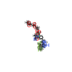 CN1CC(c2ccc(Cl)c(C(=O)N(COC(=O)OCC(C)(C)COC(=O)CCC(=O)OC(C)(C)C)C3(C#N)CC3)c2)=CN1c1[nH]nc(C(F)(F)C(F)(F)F)c1C(F)(F)F